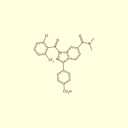 CN(C)C(=O)c1ccc2c(-c3ccc(C(=O)O)cc3)nn(C(=O)c3c(Cl)cccc3C(F)(F)F)c2c1